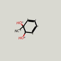 N#CC1(O)C=CC=CC1O